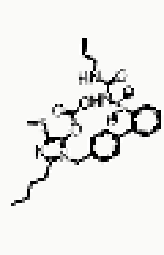 C=CCNC(=O)NS(=O)(=O)c1ccccc1-c1ccc(Cn2c(CCCC)nc(SC)c2OC(=O)O)cc1